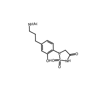 CC(=O)NCCCc1ccc(N2CC(=O)NS2(=O)=O)c(O)c1